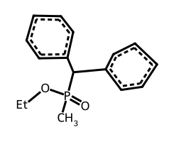 CCOP(C)(=O)C(c1ccccc1)c1ccccc1